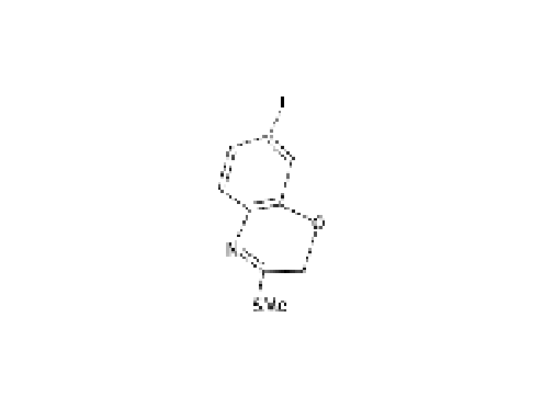 CSC1=Nc2ccc(F)cc2OC1